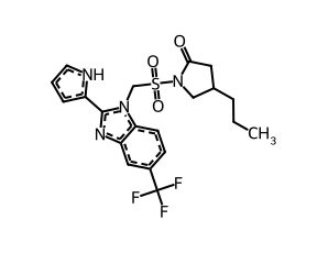 CCCC1CC(=O)N(S(=O)(=O)Cn2c(-c3ccc[nH]3)nc3cc(C(F)(F)F)ccc32)C1